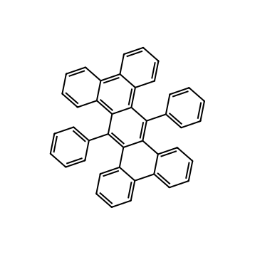 c1ccc(-c2c3c4ccccc4c4ccccc4c3c(-c3ccccc3)c3c4ccccc4c4ccccc4c23)cc1